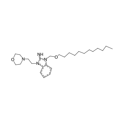 CCCCCCCCCCCCOCn1c(=N)n(CCN2CCOCC2)c2ccccc21